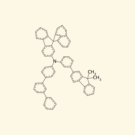 CC1(C)c2ccccc2-c2ccc(-c3cccc(N(c4ccc(-c5cccc(-c6ccccc6)c5)cc4)c4ccc5c(c4)C4(c6ccccc6-5)c5cccc6cccc4c56)c3)cc21